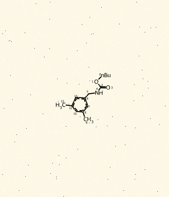 CCCCOC(=O)NCc1cc(C)cc(C)c1